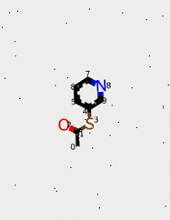 CC(=O)Sc1cccnc1